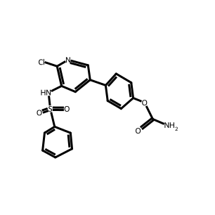 NC(=O)Oc1ccc(-c2cnc(Cl)c(NS(=O)(=O)c3ccccc3)c2)cc1